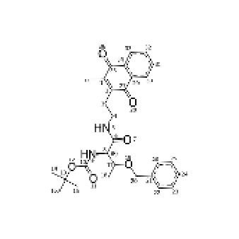 CC1=C(CCNC(=O)[C@H](NC(=O)OC(C)(C)C)C(C)OCc2ccccc2)C(=O)c2ccccc2C1=O